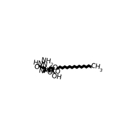 CCCCCCCCCCCCCCCC(=O)O[C@H]1C[C@H](n2cnc3c(=O)[nH]c(N)nc32)O[C@@H]1CO